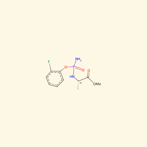 COC(=O)[C@H](C)NP(N)(=O)Oc1ccccc1F